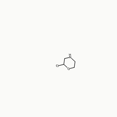 ClC1CNCCO1